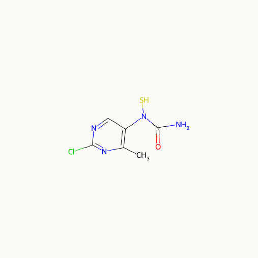 Cc1nc(Cl)ncc1N(S)C(N)=O